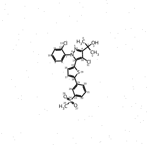 CC(C)(O)c1nn(-c2ccccc2Cl)c(-c2ccc(-c3cccc(S(C)(=O)=O)c3)s2)c1Cl